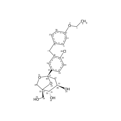 CCOc1ccc(Cc2cc([C@]34C[C@@H](O)[C@H](O)[C@](CO)(CO3)O4)ccc2Cl)cc1